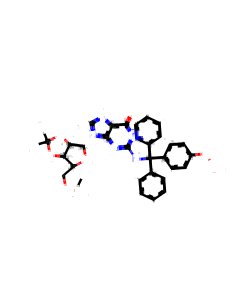 CC[C@@]1(CO)O[C@@H](n2cnc3c(=O)[nH]c(NC(c4ccccc4)(c4ccccc4)c4ccc(OC)cc4)nc32)[C@]2(C)OC(C)(C)O[C@H]12